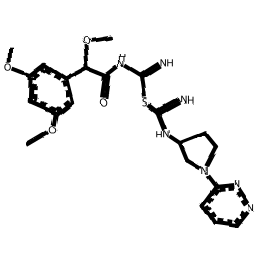 COc1cc(OC)cc(C(OC)C(=O)NC(=N)SC(=N)NC2CCN(c3cccnn3)C2)c1